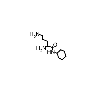 NCCCC(N)C(=O)NC1CCCCC1